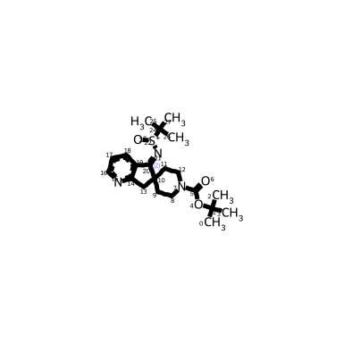 CC(C)(C)OC(=O)N1CCC2(CC1)Cc1ncccc1/C2=N\[S+]([O-])C(C)(C)C